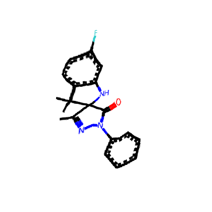 CC1=NN(c2ccccc2)C(=O)C12Nc1cc(F)ccc1C2(C)C